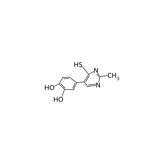 Cc1ncc(-c2ccc(O)c(O)c2)c(S)n1